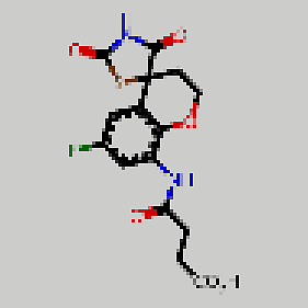 O=C(O)CCC(=O)Nc1cc(F)cc2c1OCCC21SC(=O)NC1=O